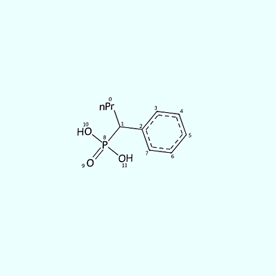 CCCC(c1ccccc1)P(=O)(O)O